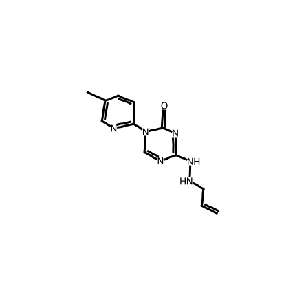 C=CCNNc1ncn(-c2ccc(C)cn2)c(=O)n1